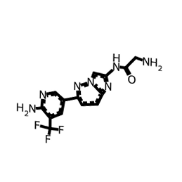 NCC(=O)Nc1cn2nc(-c3cnc(N)c(C(F)(F)F)c3)ccc2n1